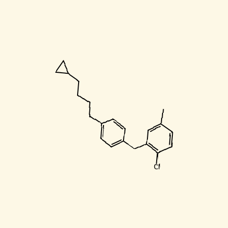 Cc1ccc(Cl)c(Cc2ccc(CCCCC3CC3)cc2)c1